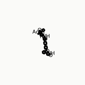 CC(=O)c1c(C)c2cnc(Nc3ccc(N4CCC(N5CCN(Cc6ccccc6C6CCC(=O)NC6=O)CC5)CC4)cn3)nc2n(C2CCCC2)c1=O